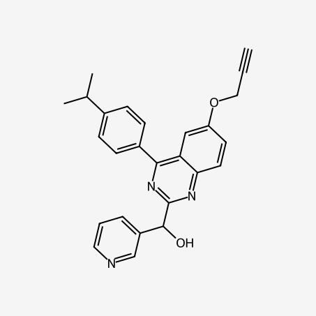 C#CCOc1ccc2nc(C(O)c3cccnc3)nc(-c3ccc(C(C)C)cc3)c2c1